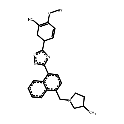 CC1CCN(Cc2ccc(-c3noc(C4C=CC(OC(C)C)=C(C#N)C4)n3)c3ccccc23)C1